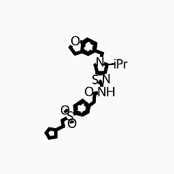 CC(C)[C@H]1c2nc(NC(=O)Cc3ccc(S(=O)(=O)CCC4CCCC4)cc3)sc2CN1Cc1ccc2c(c1)CCO2